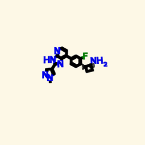 Cn1cc(-c2nc3c(-c4ccc([C@H]5CC[C@H]5N)c(F)c4)ccnc3[nH]2)cn1